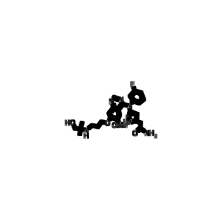 COc1cc2c(N(c3cccc(F)c3)c3cc(CC(N)=O)[nH]n3)ncnc2cc1OCCCNC(C)(C)CO